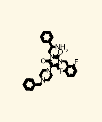 Cc1c(N2CCN(Cc3ccccc3)CC2)c(=O)n(CC(N)c2ccccc2)c(=O)n1Cc1c(F)cccc1F